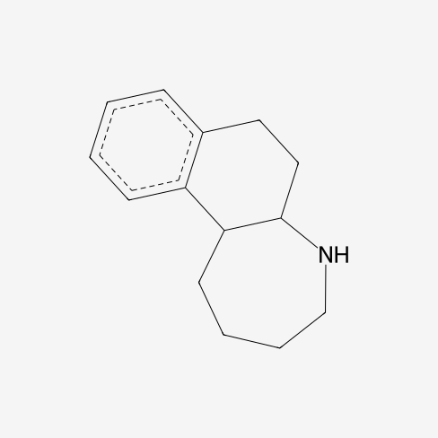 c1ccc2c(c1)CCC1NCCCCC21